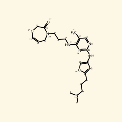 CN(C)CCCc1nc(Nc2ncc(C(F)(F)F)c(NCCCN3CC=COCC3=O)n2)co1